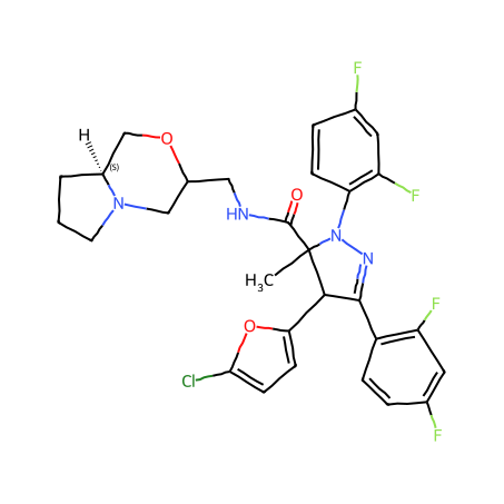 CC1(C(=O)NCC2CN3CCC[C@H]3CO2)C(c2ccc(Cl)o2)C(c2ccc(F)cc2F)=NN1c1ccc(F)cc1F